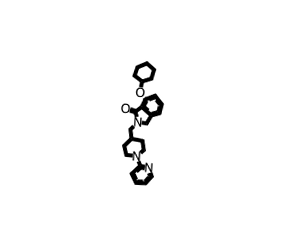 O=C1c2c(cccc2OC2CCCCC2)CN1CC1CCN(c2ccccn2)CC1